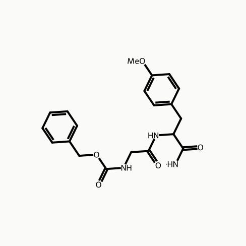 COc1ccc(CC(NC(=O)CNC(=O)OCc2ccccc2)C([NH])=O)cc1